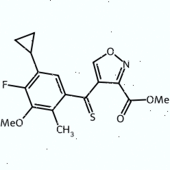 COC(=O)c1nocc1C(=S)c1cc(C2CC2)c(F)c(OC)c1C